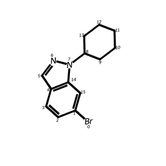 Brc1ccc2cnn(C3CCCCC3)c2c1